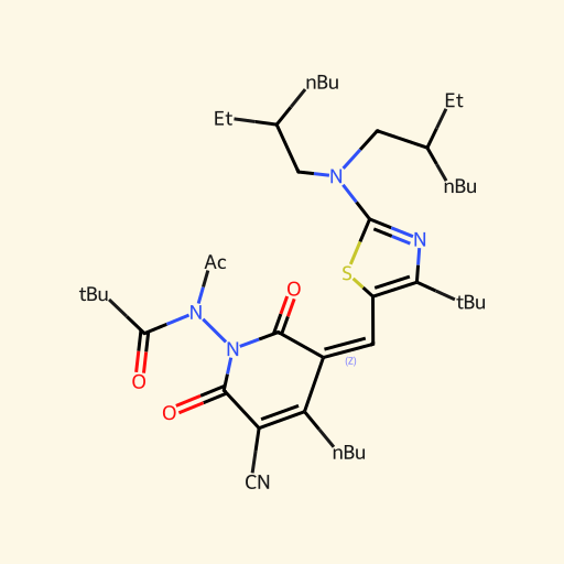 CCCCC1=C(C#N)C(=O)N(N(C(C)=O)C(=O)C(C)(C)C)C(=O)/C1=C\c1sc(N(CC(CC)CCCC)CC(CC)CCCC)nc1C(C)(C)C